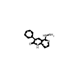 NNc1nccc2[nH]c(=O)c(-c3ccccc3)cc12